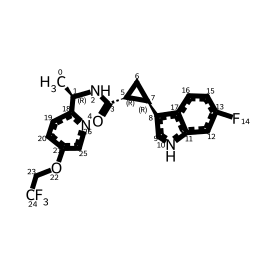 C[C@@H](NC(=O)[C@@H]1C[C@H]1c1c[nH]c2cc(F)ccc12)c1ccc(OCC(F)(F)F)cn1